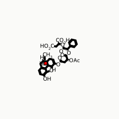 CC(=O)O[C@@H](CC(=O)OC1=CC[C@@]2(O)[C@H]3Cc4ccc(O)c5c4[C@@]2(CCN3C)[C@H]1O5)C(=O)O[C@H](C(=O)O[C@@H](CC(=O)O)C(=O)O)c1ccccc1